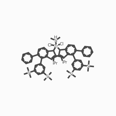 CC(C)CC1=Cc2c(ccc(-c3ccccc3)c2-c2cc([Si](C)(C)C)cc([Si](C)(C)C)c2)[CH]1[Zr]([Cl])([Cl])([CH]1C(CC(C)C)=Cc2c1ccc(-c1ccccc1)c2-c1cc([Si](C)(C)C)cc([Si](C)(C)C)c1)[SiH](C)C